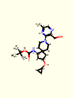 Cc1cnc(CO)c(N2CCC3(CC2)C[C@@H](OC2CC2)C[C@H]3NC(=O)OC(C)(C)C)n1